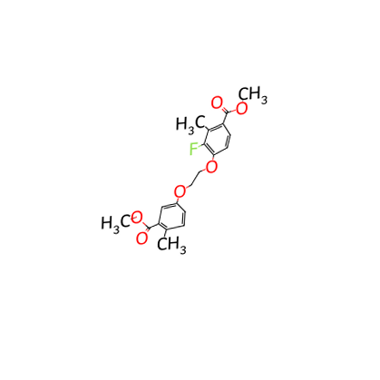 COC(=O)c1cc(OCCOc2ccc(C(=O)OC)c(C)c2F)ccc1C